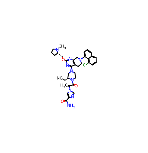 C=C(C(=O)N1CCN(c2nc(OC[C@@H]3CCCN3C)nc3c2CCN(c2cccc4cccc(Cl)c24)C3)C[C@@H]1CC#N)n1cnc(C(N)=O)c1